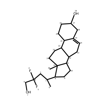 CC(CC(F)(F)CO)C1CCC2C3CC=C4CC(O)CCC4C3CCC12C